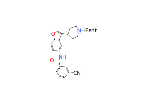 CCCC(C)N1CCC(c2coc3ccc(NC(=O)c4cccc(C#N)c4)cc23)CC1